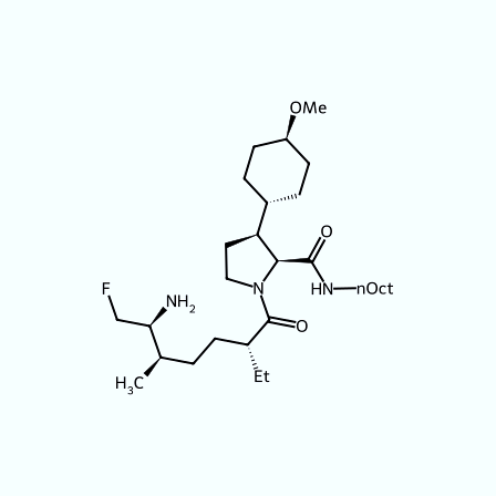 CCCCCCCCNC(=O)[C@@H]1[C@H]([C@H]2CC[C@H](OC)CC2)CCN1C(=O)[C@H](CC)CC[C@@H](C)[C@H](N)CF